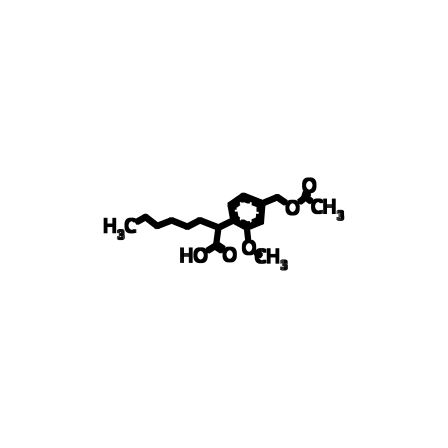 CCCCCCC(C(=O)O)c1ccc(COC(C)=O)cc1OC